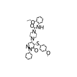 CCOc1ccccc1NC(=O)N1CCN(c2cnn(-c3ccccc3)c(=O)c2Sc2ccc(OC)cc2)CC1